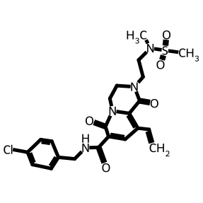 C=Cc1cc(C(=O)NCc2ccc(Cl)cc2)c(=O)n2c1C(=O)N(CCN(C)S(C)(=O)=O)CC2